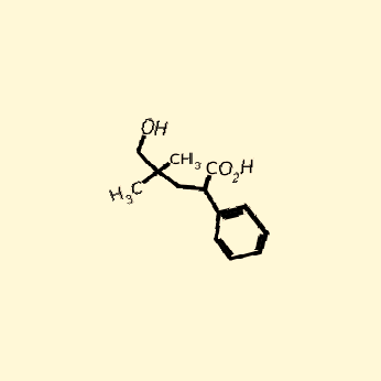 CC(C)(CO)CC(C(=O)O)c1ccccc1